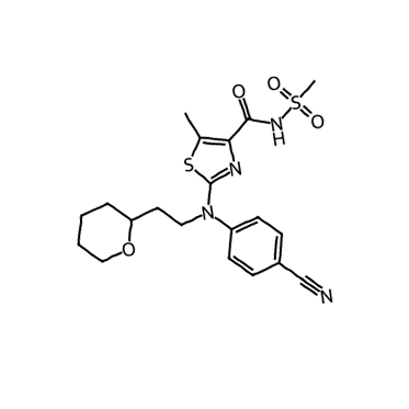 Cc1sc(N(CCC2CCCCO2)c2ccc(C#N)cc2)nc1C(=O)NS(C)(=O)=O